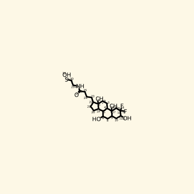 CC12CCC3C(C(O)CC4CC(O)C(F)(F)CC43C)C1CCC2CCCC(=O)NCCSO